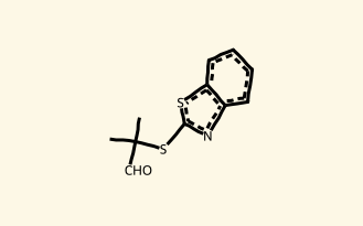 CC(C)(C=O)Sc1nc2ccccc2s1